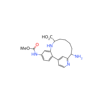 COC(=O)Nc1ccc2c(c1)NC(C(=O)O)CCCCC(N)c1cc-2ccn1